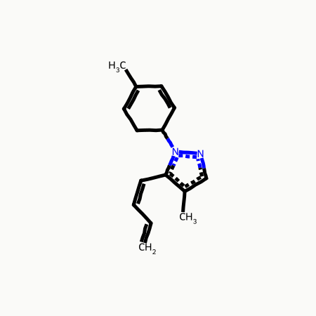 C=C/C=C\c1c(C)cnn1C1C=CC(C)=CC1